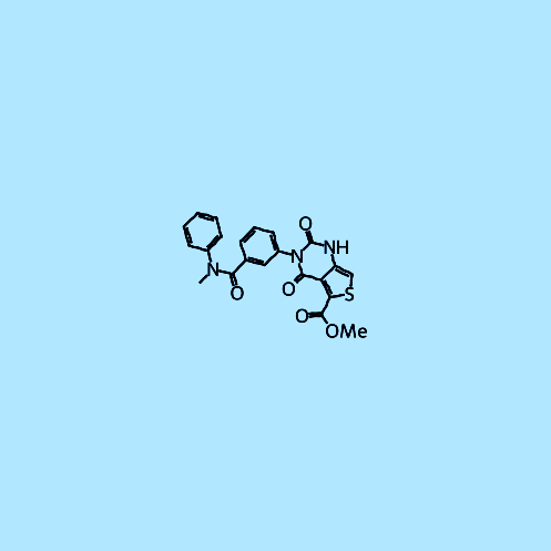 COC(=O)c1scc2[nH]c(=O)n(-c3cccc(C(=O)N(C)c4ccccc4)c3)c(=O)c12